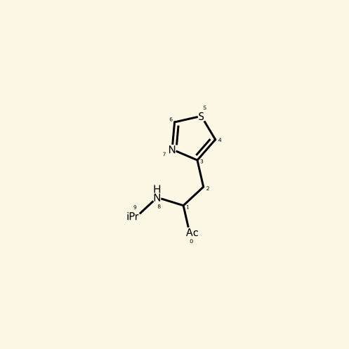 CC(=O)C(Cc1cscn1)NC(C)C